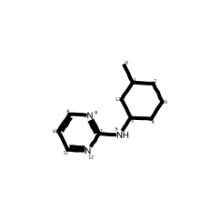 CC1CCCC(Nc2ncccn2)C1